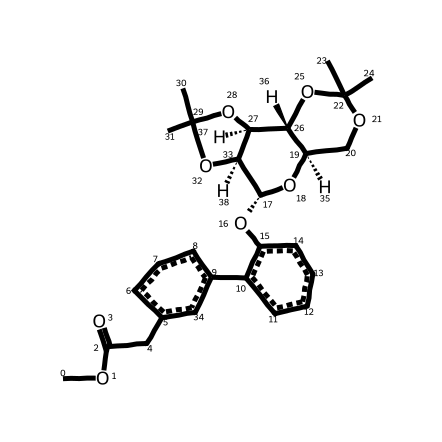 COC(=O)Cc1cccc(-c2ccccc2O[C@H]2O[C@@H]3COC(C)(C)O[C@H]3[C@@H]3OC(C)(C)O[C@H]23)c1